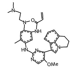 C=CC(=O)Nc1cc(Nc2ncc(OC)c(-c3cn4c5c(cccc35)CCC4)n2)c(C)cc1N(C)CCN(C)C